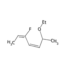 C/C=C(F)\C=C/C(C)OCC